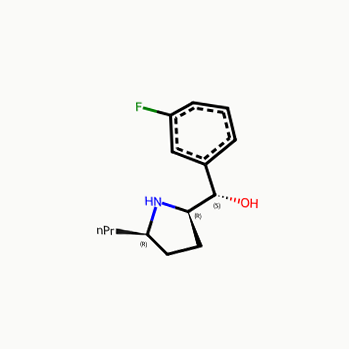 CCC[C@@H]1CC[C@H]([C@@H](O)c2cccc(F)c2)N1